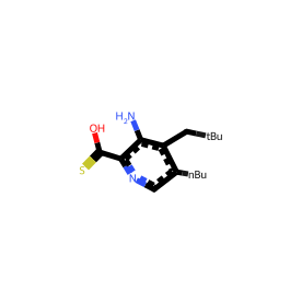 CCCCc1cnc(C(O)=S)c(N)c1CC(C)(C)C